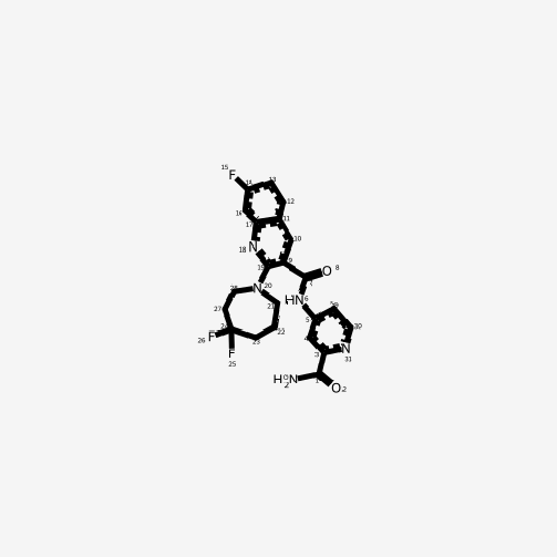 NC(=O)c1cc(NC(=O)c2cc3ccc(F)cc3nc2N2CCCC(F)(F)CC2)ccn1